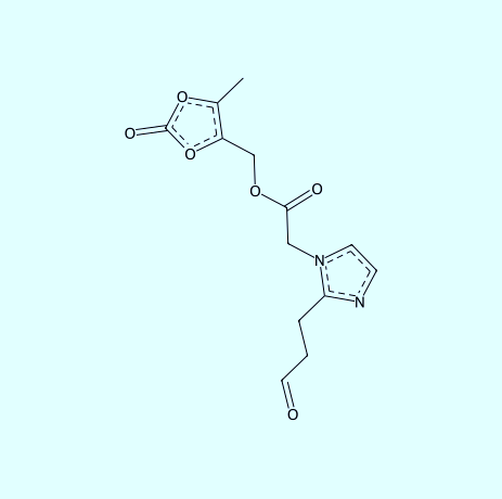 Cc1oc(=O)oc1COC(=O)Cn1ccnc1CCC=O